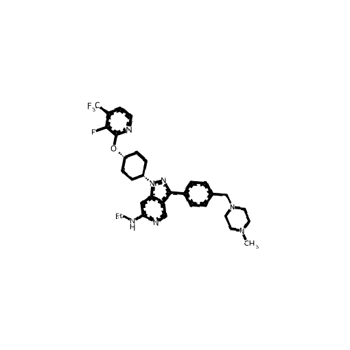 CCNc1cc2c(cn1)c(-c1ccc(CN3CCN(C)CC3)cc1)nn2[C@H]1CC[C@@H](Oc2nccc(C(F)(F)F)c2F)CC1